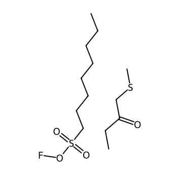 CCC(=O)CSC.CCCCCCCCS(=O)(=O)OF